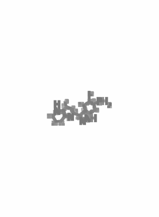 Cc1cc(-c2n[nH]c3cc(P)c(I)cc23)nc2c1NCCC2